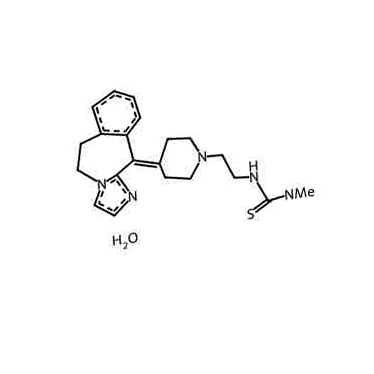 CNC(=S)NCCN1CCC(=C2c3ccccc3CCn3ccnc32)CC1.O